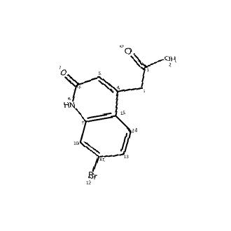 O=C(O)Cc1cc(=O)[nH]c2cc(Br)ccc12